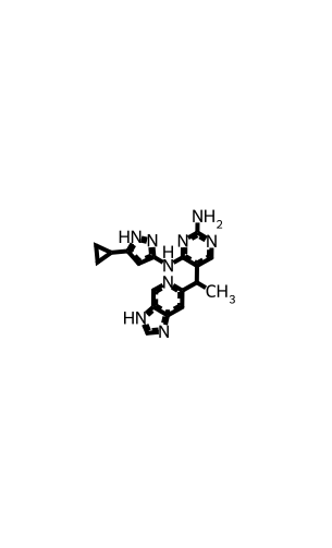 CC(c1cc2nc[nH]c2cn1)c1cnc(N)nc1Nc1cc(C2CC2)[nH]n1